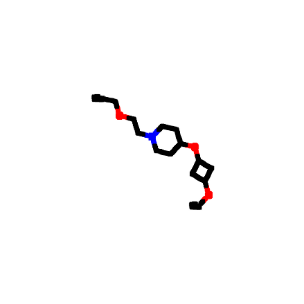 CC(C)(C)COCCN1CCC(OC2CC(OC(C)(C)C)C2)CC1